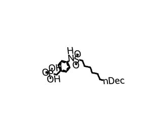 CCCCCCCCCCCCCCCCS(=O)(=O)Nc1ccc(CP(=O)(O)O)cc1